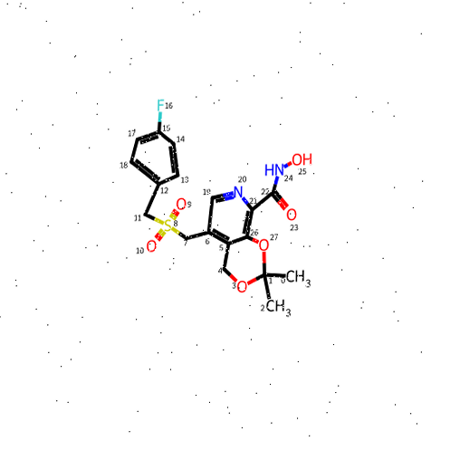 CC1(C)OCc2c(CS(=O)(=O)Cc3ccc(F)cc3)cnc(C(=O)NO)c2O1